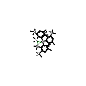 Cc1cc([Si](C)(C)C)c([Si](C)(C)C)c([Si](Cl)(c2c(C)c(C)cc([Si](C)(C)C)c2[Si](C)(C)C)c2c(C)c(C)cc([Si](C)(C)C)c2[Si](C)(C)C)c1C